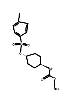 Cc1ccc(S(=O)(=O)O[C@H]2CC[C@H](NC(=O)OC(C)(C)C)CC2)cc1